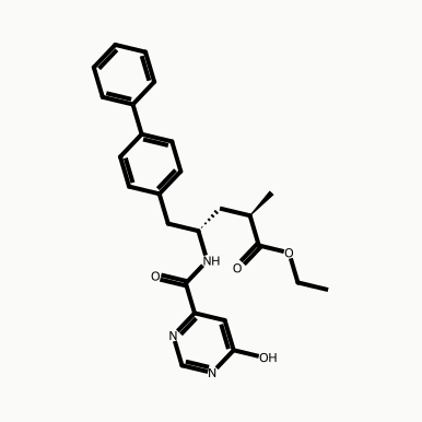 CCOC(=O)[C@H](C)C[C@@H](Cc1ccc(-c2ccccc2)cc1)NC(=O)c1cc(O)ncn1